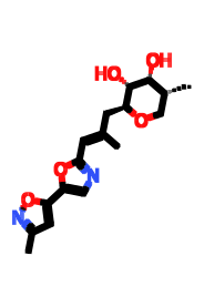 [CH2][C@@H]1CO[C@@H](C/C(C)=C/c2ncc(-c3cc(C)no3)o2)[C@H](O)[C@@H]1O